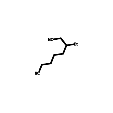 [CH2]CC(CC#N)CCCCC#N